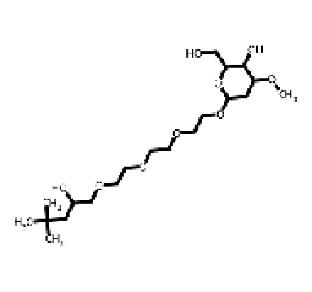 COC1CC(OCCOCCOCCOCC(O)CC(C)(C)C)OC(CO)C1O